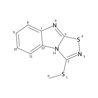 CSc1nsc2nc3ccccc3n12